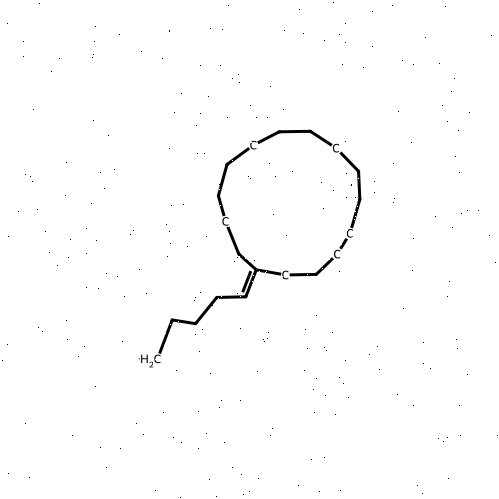 [CH2]CCCC=C1CCCCCCCCCCCCCC1